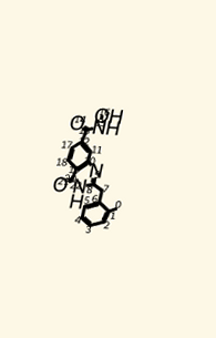 Cc1ccccc1Cc1nc2cc(C(=O)NO)ccc2c(=O)[nH]1